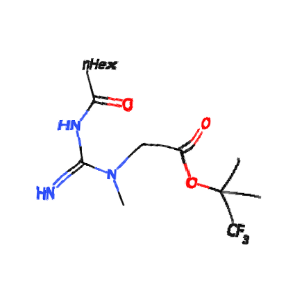 CCCCCCC(=O)NC(=N)N(C)CC(=O)OC(C)(C)C(F)(F)F